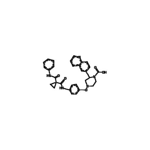 O=C(O)N1CCN(Oc2ccc(NC(=O)C3(C(=O)Nc4ccccc4)CC3)cc2)CC1c1ccc2ncccc2c1